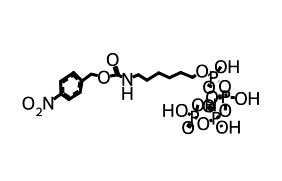 O=C(NCCCCCCOP(=O)(O)OP(=O)(O)OP(=O)(O)OP(=O)(O)O)OCc1ccc([N+](=O)[O-])cc1